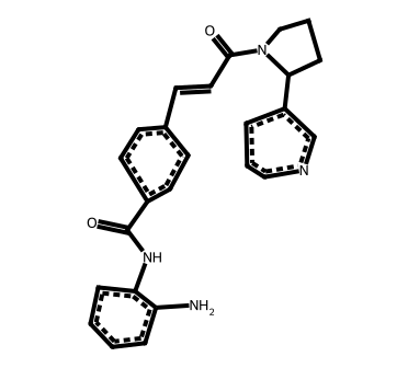 Nc1ccccc1NC(=O)c1ccc(C=CC(=O)N2CCCC2c2cccnc2)cc1